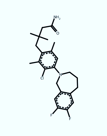 Cc1cc(N2CCCc3cc(F)c(F)cc3C2)c(Cl)c(C)c1CC(C)(C)CC(N)=O